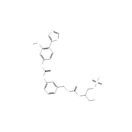 CCC(COS(N)(=O)=O)OC(=O)NCc1cccc(NC(=O)Nc2ccc(-c3cnco3)c(OC)c2)c1